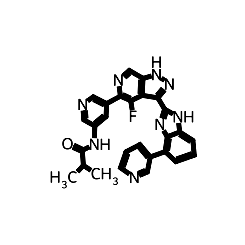 CC(C)C(=O)Nc1cncc(-c2ncc3[nH]nc(-c4nc5c(-c6cccnc6)cccc5[nH]4)c3c2F)c1